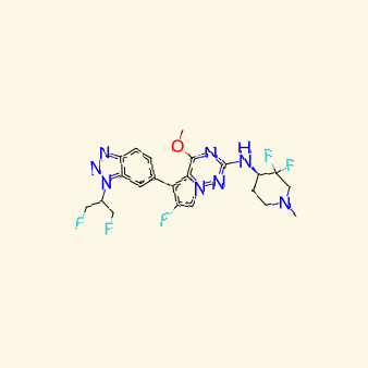 COc1nc(N[C@@H]2CCN(C)CC2(F)F)nn2cc(F)c(-c3ccc4nnn(C(CF)CF)c4c3)c12